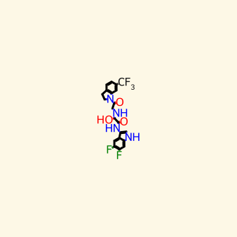 O=C(Nc1c[nH]c2cc(F)c(F)cc12)C(O)NCC(=O)N1CCc2ccc(C(F)(F)F)cc21